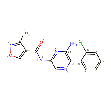 Cc1nocc1C(=O)Nc1cnc(-c2ccccc2Cl)c(N)n1